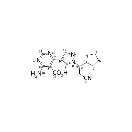 N#CC[C@H](C1CCCC1)n1cc(-c2ncnc(N)c2C(=O)O)cn1